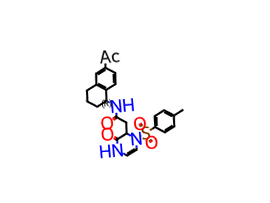 CC(=O)c1ccc2c(c1)CCC[C@H]2NC(=O)CC1C(=O)NC=CN1S(=O)(=O)c1ccc(C)cc1